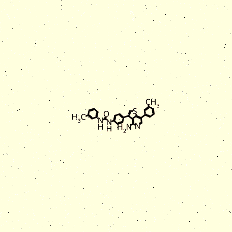 Cc1cccc(NC(=O)Nc2ccc(-c3csc4c(-c5cccc(C)c5)cnc(N)c34)cc2)c1